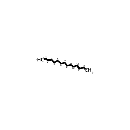 [CH]=CC=CCCCCCCCC=CCC